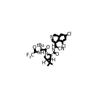 CC(C)(C)[C@H](NC(=O)C(F)(F)F)C(=O)N1C[C@H]2[C@@H]([C@H]1C(=O)NC(C#N)c1cncc3cc(Cl)cc(Cl)c13)C2(C)C